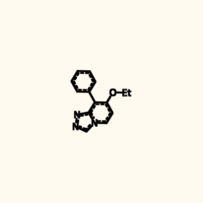 CCOc1ccn2cnnc2c1-c1ccccc1